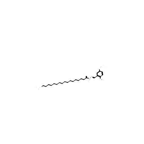 CCCCCCCCCCCCCCCCCC(=O)N/N=C/c1cc(OC)ccc1O